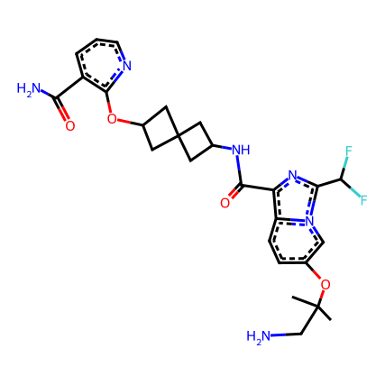 CC(C)(CN)Oc1ccc2c(C(=O)NC3CC4(C3)CC(Oc3ncccc3C(N)=O)C4)nc(C(F)F)n2c1